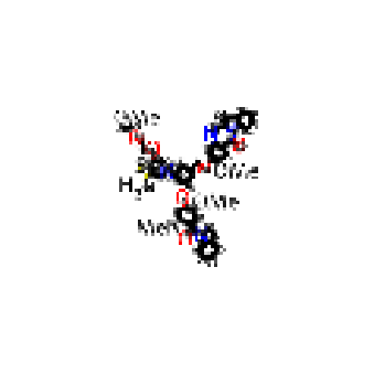 CNc1cc(OCc2cc(COc3cc4c(cc3OC)C(=O)N3c5ccccc5C[C@H]3C=N4)cc(N(CCOCCOCCOC)CC(C)(C)SSC)c2)c(OC)cc1C(=O)N1CCc2ccccc21